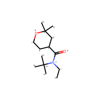 CCN(C(=O)C1CCOC(C)(C)C1)C(C)(C)C